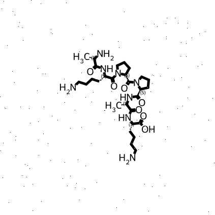 C[C@H](N)C(=O)N[C@@H](CCCCN)C(=O)N1CCC[C@H]1C(=O)N1CCC[C@H]1C(=O)N[C@@H](C)C(=O)N[C@@H](CCCCN)C(=O)O